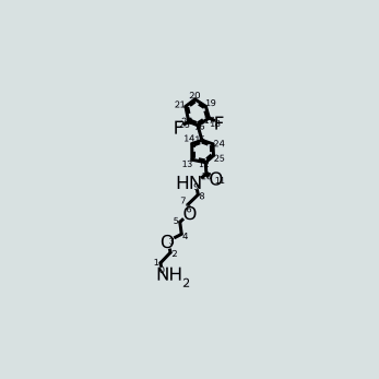 NCCOCCOCCNC(=O)c1ccc(-c2c(F)cccc2F)cc1